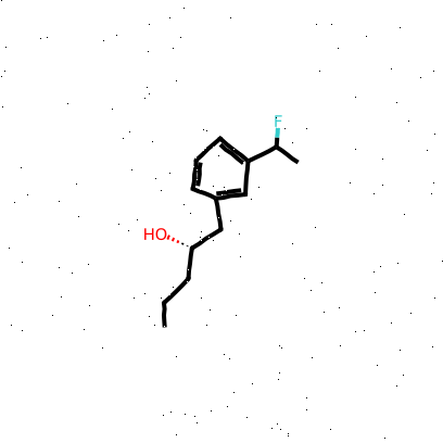 CCC[C@H](O)Cc1cccc(C(C)F)c1